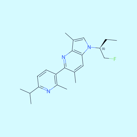 CC[C@@H](CF)n1cc(C)c2nc(-c3ccc(C(C)C)nc3C)c(C)cc21